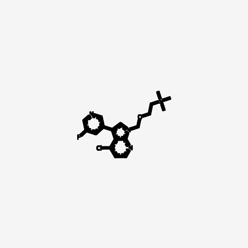 C[Si](C)(C)CCOCn1cc(-c2cncc(F)c2)c2c(Cl)ccnc21